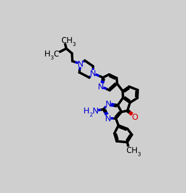 Cc1ccc(-c2nc(N)nc3c2C(=O)c2cccc(-c4ccc(N5CCN(CCC(C)C)CC5)nc4)c2-3)cc1